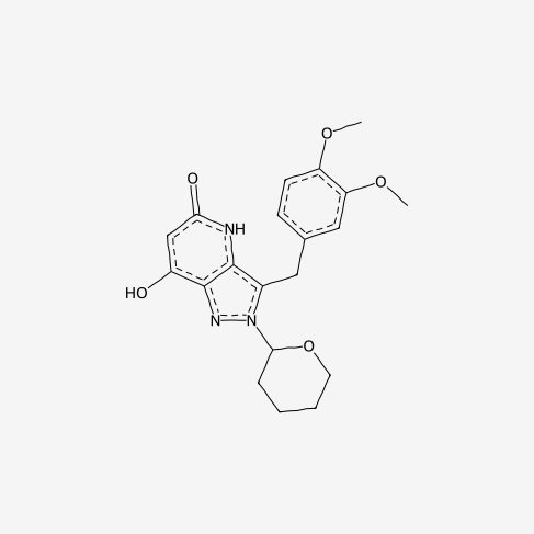 COc1ccc(Cc2c3[nH]c(=O)cc(O)c3nn2C2CCCCO2)cc1OC